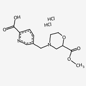 COC(=O)C1CN(Cc2ccc(C(=O)O)nc2)CCO1.Cl.Cl